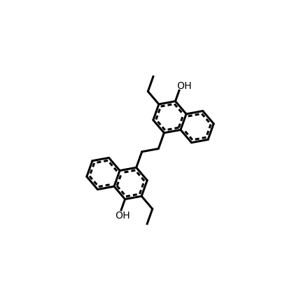 CCc1cc(CCc2cc(CC)c(O)c3ccccc23)c2ccccc2c1O